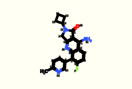 Cc1ccc(-c2c(F)ccc3c(N)c4c(nc23)CN(C2CCC2)C4=O)cn1